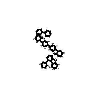 c1ccc(-c2ccccc2-n2c3ccccc3c3ccc(-c4ccc5c6ccccc6n(-c6ccc(-c7ccccc7)c7c6oc6ccccc67)c5c4)cc32)cc1